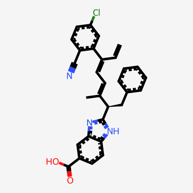 C=C/C(=C\C=C(/C)[C@@H](Cc1ccccc1)c1nc2cc(C(=O)O)ccc2[nH]1)c1cc(Cl)ccc1C#N